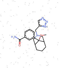 COC1(c2cccc(C(N)=O)c2)C2CCCC1CN(Cc1cnn[nH]1)C2